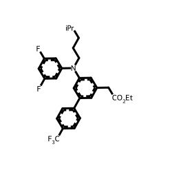 CCOC(=O)Cc1cc(-c2ccc(C(F)(F)F)cc2)cc(N(CCCC(C)C)c2cc(F)cc(F)c2)c1